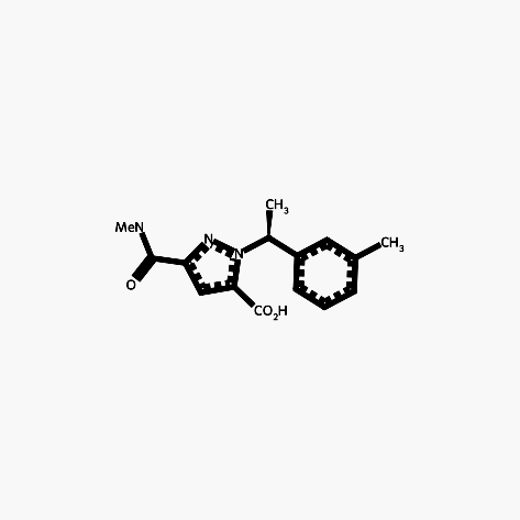 CNC(=O)c1cc(C(=O)O)n([C@@H](C)c2cccc(C)c2)n1